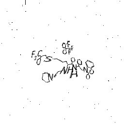 O=C(Cn1c(=O)oc2ccccc21)NC(=O)[C@H](CCCSCC(=O)C(F)(F)F)NCC[N+]1=CCCCC1.O=C([O-])C(F)(F)F